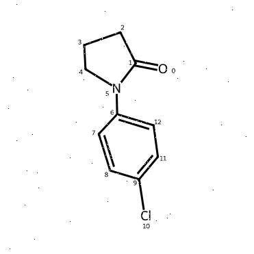 O=C1CCCN1c1ccc(Cl)cc1